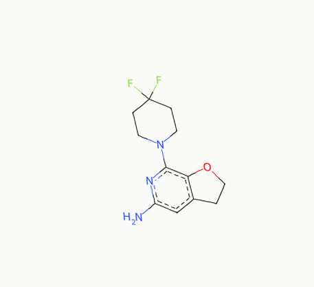 Nc1cc2c(c(N3CCC(F)(F)CC3)n1)OCC2